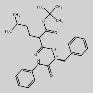 CC(C)CCC(C(=O)N[C@@H](Cc1ccccc1)C(=O)Nc1ccccc1)C(=O)OC(C)(C)C